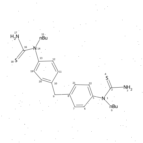 CCCCN(C(N)=S)c1ccc(Cc2ccc(N(CCCC)C(N)=S)cc2)cc1